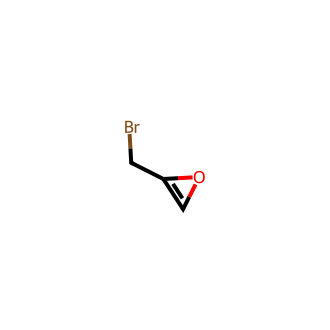 BrCC1=CO1